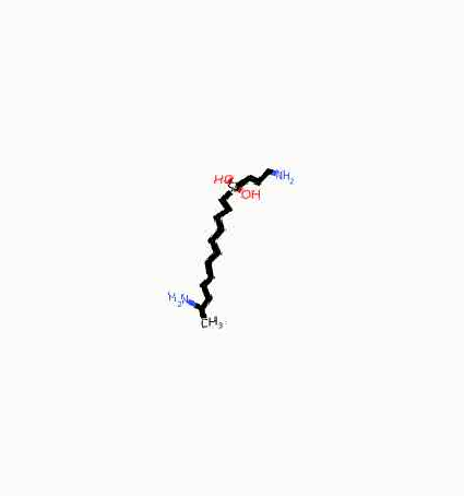 CC(N)CCCCCCCCCC[Si](O)(O)CCCN